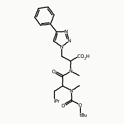 CC(C)CC(C(=O)N(C)C(Cn1cc(-c2ccccc2)nn1)C(=O)O)N(C)C(=O)OC(C)(C)C